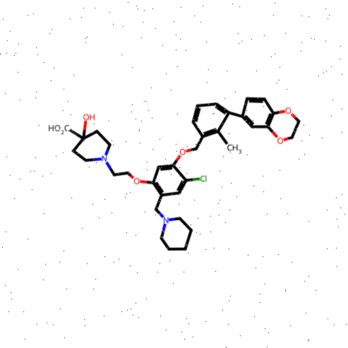 Cc1c(COc2cc(OCCN3CCC(O)(C(=O)O)CC3)c(CN3CCCCC3)cc2Cl)cccc1-c1ccc2c(c1)OCCO2